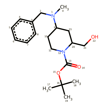 CN(Cc1ccccc1)C1CCN(C(=O)OC(C)(C)C)C(CO)C1